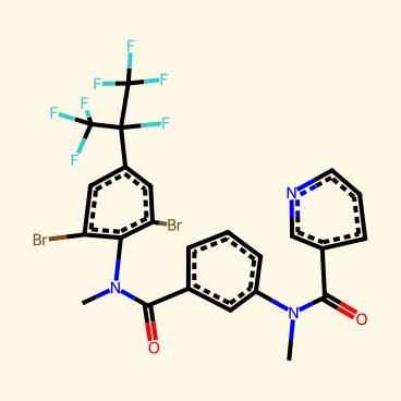 CN(C(=O)c1cccnc1)c1cccc(C(=O)N(C)c2c(Br)cc(C(F)(C(F)(F)F)C(F)(F)F)cc2Br)c1